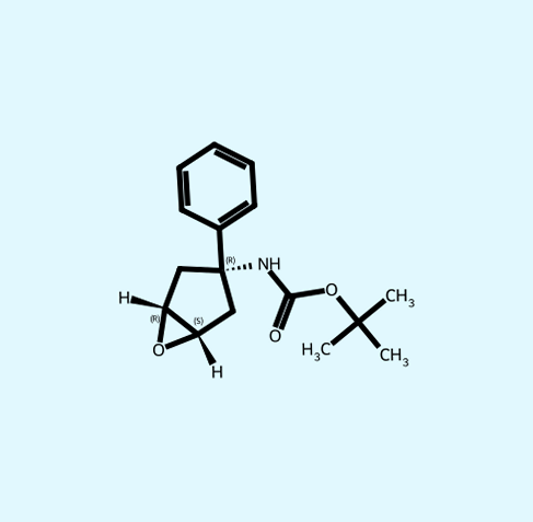 CC(C)(C)OC(=O)N[C@]1(c2ccccc2)C[C@@H]2O[C@@H]2C1